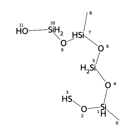 C[SiH](OS)O[SiH2]O[SiH](C)O[SiH2]O